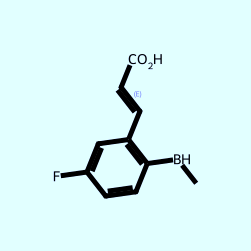 CBc1ccc(F)cc1/C=C/C(=O)O